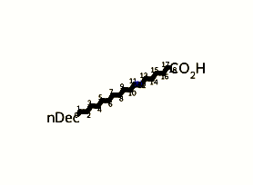 CCCCCCCCCCCCCCCCCCCC/C=C/CCCCCC(=O)O